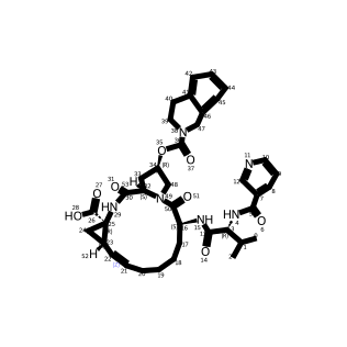 CC(C)[C@@H](NC(=O)c1cccnc1)C(=O)N[C@H]1CCCC/C=C\[C@@H]2C[C@@]2(C(=O)O)NC(=O)[C@@H]2C[C@@H](OC(=O)N3CCc4ccccc4C3)CN2C1=O